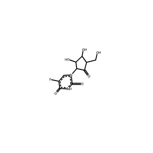 O=C1C(CO)C(O)C(O)C1n1cc(F)c(=O)[nH]c1=O